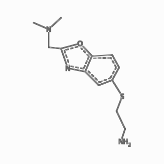 CN(C)Cc1nc2cc(SCCN)ccc2o1